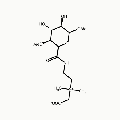 COC1OC(C(=O)NCC[N+](C)(C)CC(=O)[O-])[C@@H](OC)[C@H](O)[C@H]1O